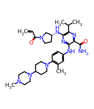 C=CC(=O)N1CC[C@@H](Nc2nc(Nc3ccc(N4CCC(N5CCN(C)CC5)CC4)c(C)c3)c(C(N)=O)nc2C(C)C)C1